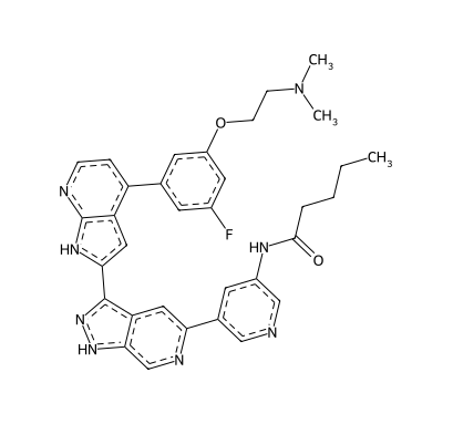 CCCCC(=O)Nc1cncc(-c2cc3c(-c4cc5c(-c6cc(F)cc(OCCN(C)C)c6)ccnc5[nH]4)n[nH]c3cn2)c1